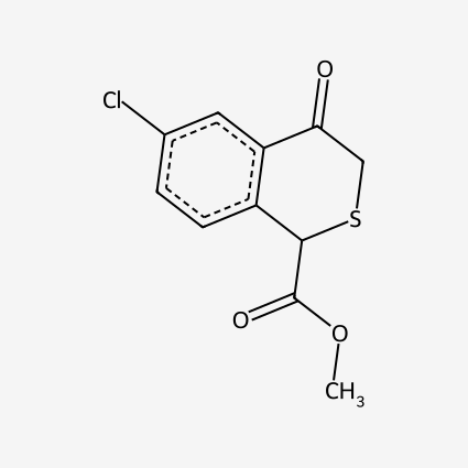 COC(=O)C1SCC(=O)c2cc(Cl)ccc21